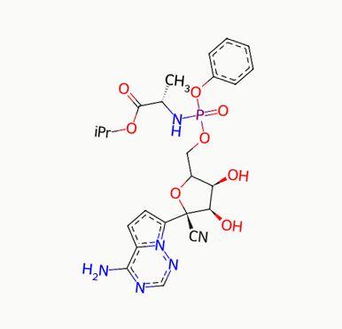 CC(C)OC(=O)[C@H](C)NP(=O)(OCC1O[C@@](C#N)(c2ccc3c(N)ncnn23)[C@H](O)[C@@H]1O)Oc1ccccc1